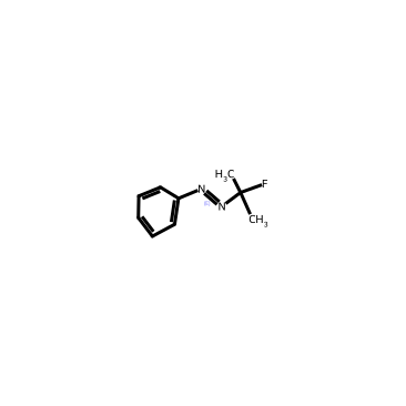 CC(C)(F)/N=N/c1ccccc1